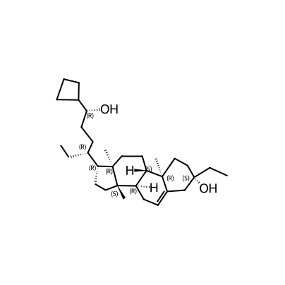 CC[C@H](CC[C@@H](O)C1CCC1)[C@H]1CC[C@@]2(C)[C@@H]3CC=C4C[C@](O)(CC)CC[C@]4(C)[C@H]3CC[C@]12C